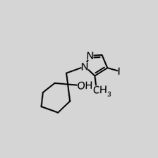 Cc1c(I)cnn1CC1(O)CCCCC1